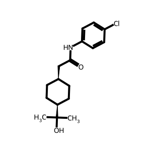 CC(C)(O)[C@H]1CC[C@@H](CC(=O)Nc2ccc(Cl)cc2)CC1